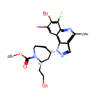 CSc1nc2c(F)c(Br)c(I)cc2c2c1cnn2[C@H]1CCN(C(=O)OC(C)(C)C)[C@H](CCO)C1